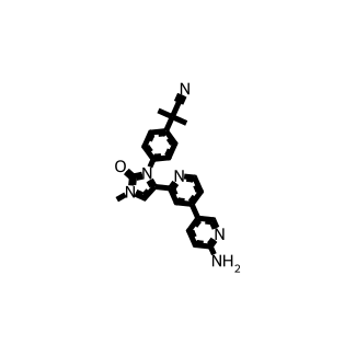 Cn1cc(-c2cc(-c3ccc(N)nc3)ccn2)n(-c2ccc(C(C)(C)C#N)cc2)c1=O